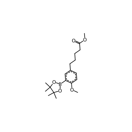 COC(=O)CCCCc1ccc(OC)c(B2OC(C)(C)C(C)(C)O2)c1